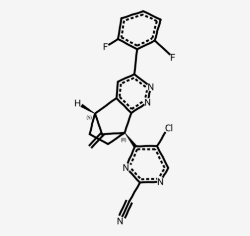 C=C1[C@@H]2CC[C@@]1(c1nc(C#N)ncc1Cl)c1nnc(-c3c(F)cccc3F)cc12